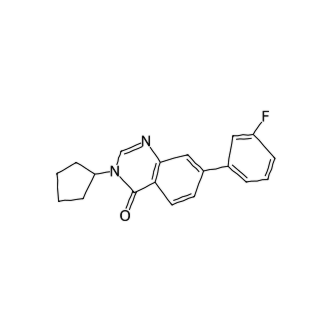 O=c1c2ccc(-c3cccc(F)c3)cc2ncn1C1CCCC1